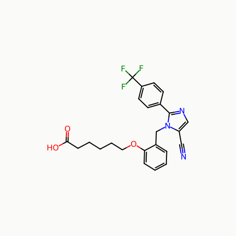 N#Cc1cnc(-c2ccc(C(F)(F)F)cc2)n1Cc1ccccc1OCCCCCC(=O)O